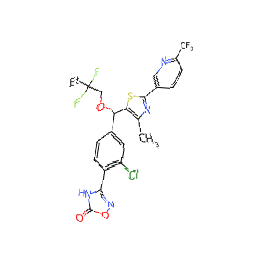 CCC(F)(F)COC(c1ccc(-c2noc(=O)[nH]2)c(Cl)c1)c1sc(-c2ccc(C(F)(F)F)nc2)nc1C